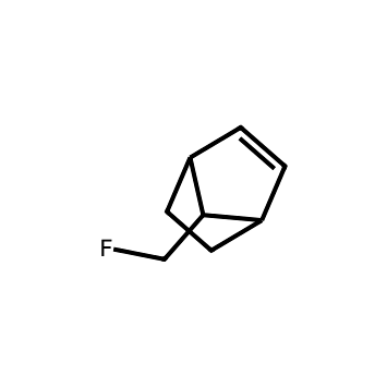 FCC1C2C=CC1CC2